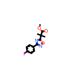 COC(=O)C(C)(C)c1nc(-c2ccc(I)cc2)no1